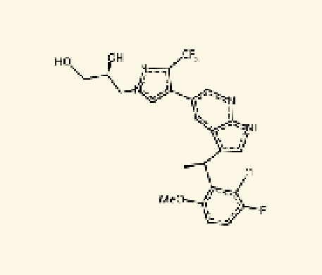 COc1ccc(F)c(Cl)c1[C@@H](C)c1c[nH]c2ncc(-c3cn(C[C@H](O)CO)nc3C(F)(F)F)cc12